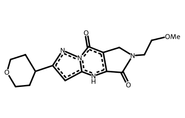 COCCN1Cc2c([nH]c3cc(C4CCOCC4)nn3c2=O)C1=O